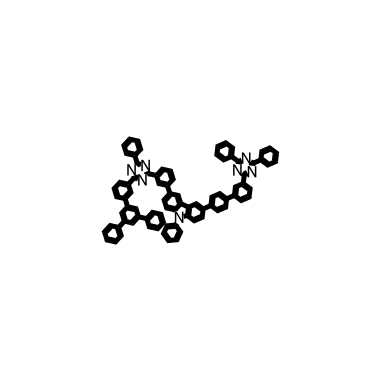 c1ccc(-c2cc(-c3ccccc3)cc(-c3cccc(-c4nc(-c5ccccc5)nc(-c5cccc(-c6ccc7c(c6)c6cc(-c8ccc(-c9cccc(-c%10nc(-c%11ccccc%11)nc(-c%11ccccc%11)n%10)c9)cc8)ccc6n7-c6ccccc6)c5)n4)c3)c2)cc1